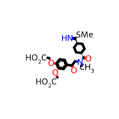 CSC(=N)[C@H]1CC[C@H](C(=O)N(C)CC(=O)c2ccc(OCC(=O)O)c(OCC(=O)O)c2)CC1